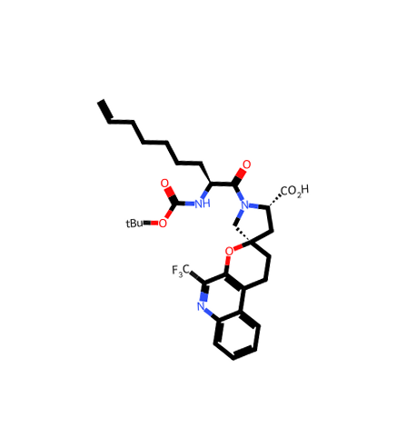 C=CCCCCC[C@H](NC(=O)OC(C)(C)C)C(=O)N1C[C@@]2(CCc3c(c(C(F)(F)F)nc4ccccc34)O2)C[C@H]1C(=O)O